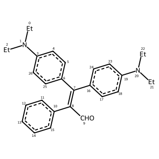 CCN(CC)c1ccc(C(=C(C=O)c2ccccc2)c2ccc(N(CC)CC)cc2)cc1